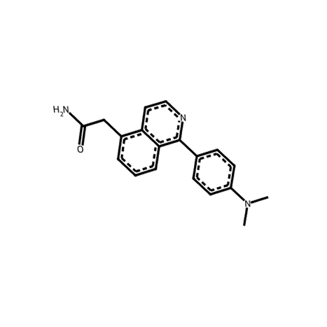 CN(C)c1ccc(-c2nccc3c(CC(N)=O)cccc23)cc1